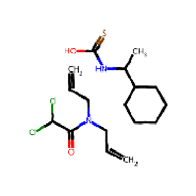 C=CCN(CC=C)C(=O)C(Cl)Cl.CC(NC(O)=S)C1CCCCC1